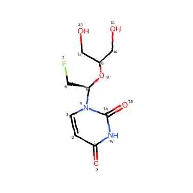 O=c1ccn([C@@H](CF)OC(CO)CO)c(=O)[nH]1